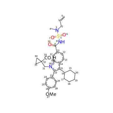 C=CCN(C)S(=O)(=O)NC(=O)c1ccc2c(C3CCCCC3)c(-c3ccc(OC)cc3)n(CC3(C(=O)O)CC3)c2c1